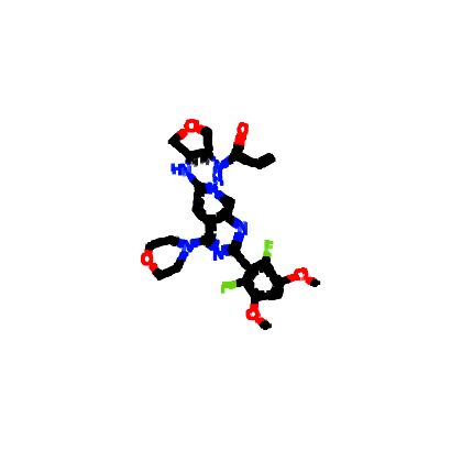 C=CC(=O)N[C@H]1COC[C@H]1Nc1cc2c(N3CCOCC3)nc(-c3c(F)c(OC)cc(OC)c3F)nc2cn1